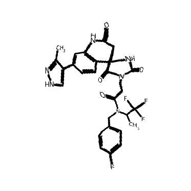 Cc1n[nH]cc1-c1ccc2c(c1)NC(=O)CC21NC(=O)N(CC(=O)N(Cc2ccc(F)cc2)C(C)C(F)(F)F)C1=O